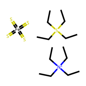 CCS(CC)(CC)CC.CC[N+](CC)(CC)CC.[S]=[Fe](=[S])(=[S])=[S]